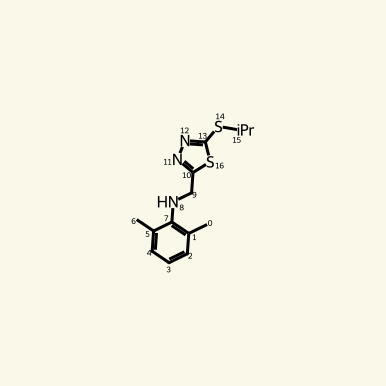 Cc1cccc(C)c1NCc1nnc(SC(C)C)s1